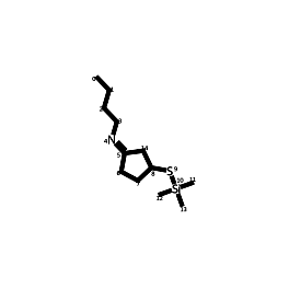 CCCCN=C1CCC(S[Si](C)(C)C)C1